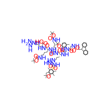 Cc1c(C)c(S(=O)(=O)NC(=N)NCCC[C@@H](NC(=O)CNC(=O)[C@H](Cc2ccc(OC(C)(C)C)cc2)NC(=O)OCC2c3ccccc3-c3ccccc32)C(=O)N[C@@H](CCCCNC(=O)OC(C)(C)C)C(=O)N[C@@H](CCCCNC(=O)OC(C)(C)C)C(=O)N[C@@H](CCCNC(=N)N)C(=O)O)c(C)c2c1OC(C)(C)C2